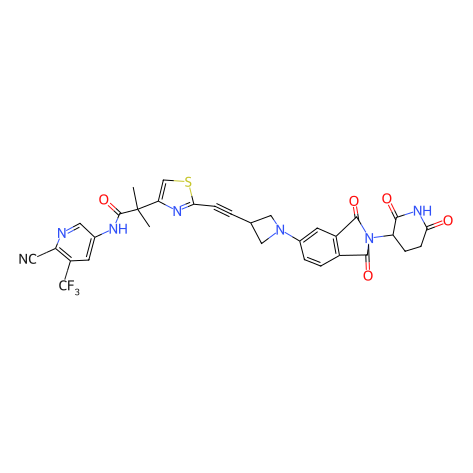 CC(C)(C(=O)Nc1cnc(C#N)c(C(F)(F)F)c1)c1csc(C#CC2CN(c3ccc4c(c3)C(=O)N(C3CCC(=O)NC3=O)C4=O)C2)n1